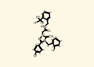 C=C1N(CC(=O)NCc2ccccc2C(F)(F)F)N=C(c2ccc(Cl)cc2)N1Cc1ccccc1F